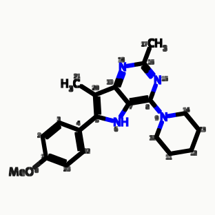 COc1ccc(-c2[nH]c3c(N4CCCCC4)nc(C)nc3c2C)cc1